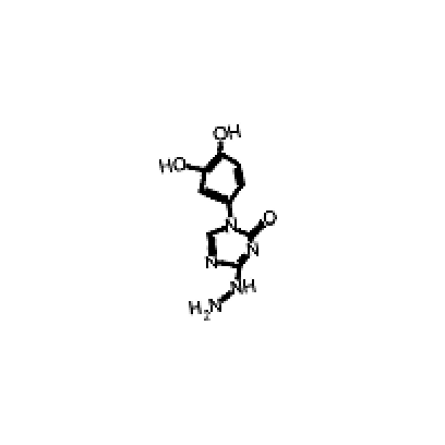 NNc1ncn(-c2ccc(O)c(O)c2)c(=O)n1